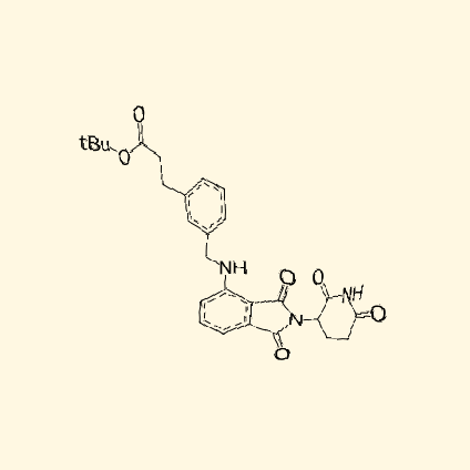 CC(C)(C)OC(=O)CCc1cccc(CNc2cccc3c2C(=O)N(C2CCC(=O)NC2=O)C3=O)c1